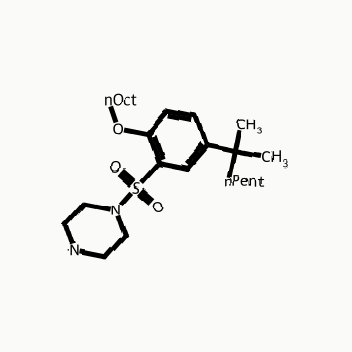 CCCCCCCCOc1ccc(C(C)(C)CCCCC)cc1S(=O)(=O)N1CC[N]CC1